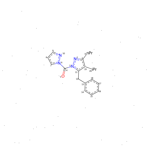 CCCc1nn(C(=O)n2cccn2)c(Cc2ccccc2)c1C(C)C